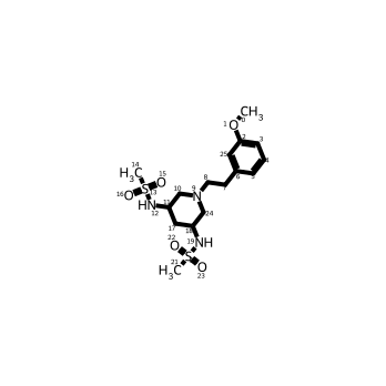 COc1cccc(CCN2CC(NS(C)(=O)=O)CC(NS(C)(=O)=O)C2)c1